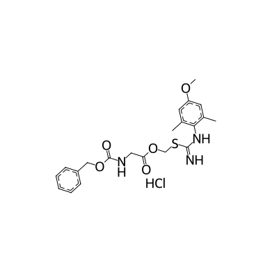 COc1cc(C)c(NC(=N)SCOC(=O)CNC(=O)OCc2ccccc2)c(C)c1.Cl